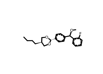 CCCC[C@H]1CO[C@H](c2ccc(C(OC)c3ccccc3F)cc2)OC1